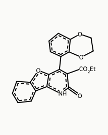 CCOC(=O)c1c(-c2cccc3c2OCCO3)c2oc3ccccc3c2[nH]c1=O